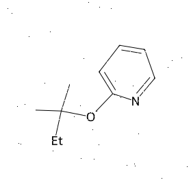 CCC(C)(C)Oc1ccccn1